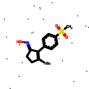 CCCCC1=C(c2ccc(S(C)(=O)=O)cc2)C(=NO)CC1